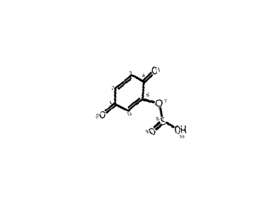 O=C1C=CC(=O)C(OS(=O)O)=C1